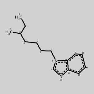 CCC(C)CCCCn1cnc2ccccc21